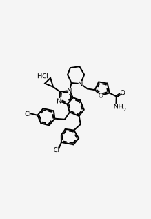 Cl.NC(=O)c1ccc(CN2CCCCC2n2c(C3CC3)nc3c(Cc4ccc(Cl)cc4)c(Cc4ccc(Cl)cc4)ccc32)o1